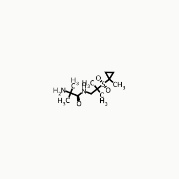 CC(C)(N)C(=O)NCC(C)(C)S(=O)(=O)C1(C)CC1